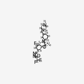 CC[S+]([O-])N(Cc1ccc(-c2nnc(C(F)F)o2)cc1F)c1cccc(CN2CCN(C)CC2)c1